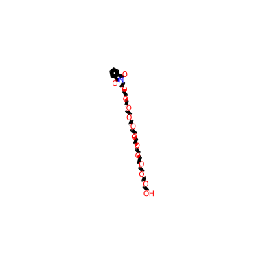 O=C1c2ccccc2C(=O)N1CCOCCOCCOCCOCCOCCOCCOCCOCCOCCOCCOCCO